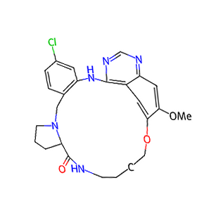 COc1cc2ncnc3c2cc1OCCCCNC(=O)C1CCCN1Cc1ccc(Cl)cc1N3